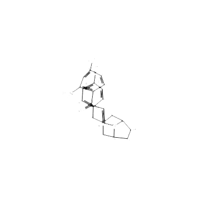 Nc1cc(Cl)ccc1C(=O)/C=C/N1C2CCC1CN(Cc1ccc(F)cc1)C2